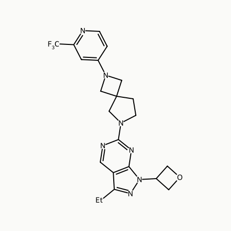 CCc1nn(C2COC2)c2nc(N3CCC4(CN(c5ccnc(C(F)(F)F)c5)C4)C3)ncc12